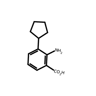 Nc1c(C(=O)O)cccc1C1CCCC1